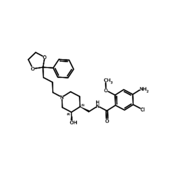 COc1cc(N)c(Cl)cc1C(=O)NC[C@@H]1CCN(CCCC2(c3ccccc3)OCCO2)C[C@@H]1O